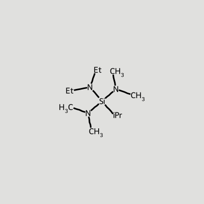 CCN(CC)[Si](C(C)C)(N(C)C)N(C)C